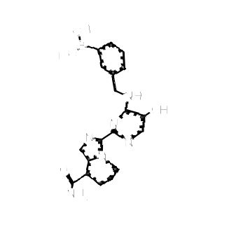 Cc1cnc(-c2ncc3c(C(N)=O)cccn23)nc1NCc1cccc(B(O)O)c1